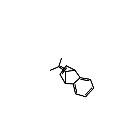 CC(C)=C1C2C=CC1c1ccccc12